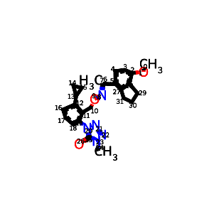 COc1ccc(C(C)=NOCc2c(C3CC3)cccc2-n2nnn(C)c2=O)c2c1CCC2